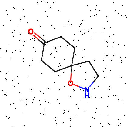 O=C1CCC2(CCNO2)CC1